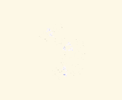 c1ccc(-c2ccccc2-c2nc(-c3ccc(-n4c(-c5ccccc5)nc5ccccc54)cc3)nc(-c3ccc(-n4c(-c5ccccc5)nc5ccccc54)cc3)n2)cc1